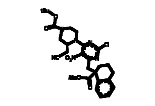 COC(=O)C1(Cc2nc(Cl)nc(N3CCN(C(=O)OC(C)(C)C)C[C@@H]3CC#N)c2[N+](=O)[O-])CCCc2ccccc21